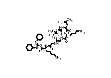 CC(C)C[C@H](NC(=O)OC(C)(C)C)C(=O)N[C@H](CCCCN)C(=O)NCC(=O)NCC(=O)N[C@@H](CCCCN)C(=O)O/C(=N\C1CCCCC1)NC1CCCCC1